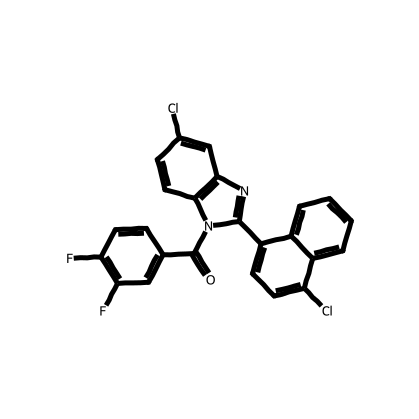 O=C(c1ccc(F)c(F)c1)n1c(-c2ccc(Cl)c3ccccc23)nc2cc(Cl)ccc21